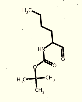 CCCCC(C=O)NC(=O)OC(C)(C)C